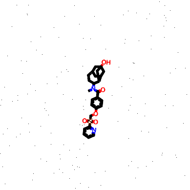 CN(C(=O)c1ccc(OCS(=O)(=O)c2ccccn2)cc1)C1CCC2CC3CC(O)(C2)CC31